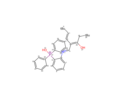 CC(C)(C)/C=C/C(/C=N/c1ccccc1[PH](O)(c1ccccc1)c1ccccc1)=C(/O)CC(C)(C)C